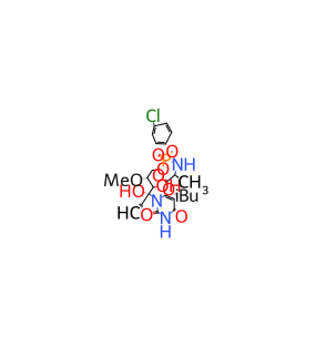 C#C[C@@](O)([C@H](O)[C@@H](COP(=O)(N[C@@H](C)C(=O)O[C@H](C)CC)Oc1ccc(Cl)cc1)OC)n1ccc(=O)[nH]c1=O